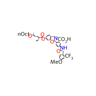 C=C/C(=C\C=C(/C)OCCCCCCCC)C(=O)Oc1ccc(CN(CC(=O)O)C(=O)c2ccc(NC(=O)Cc3ccc(OC)cc3C(F)(F)F)cc2)cc1